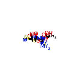 CCC(ON=C(C(=O)NC1C(=O)N2C(C(=O)O)=C(CSc3nncs3)CS[C@@H]12)c1nsc(N)n1)C(=O)O